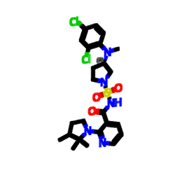 CC1CCN(c2ncccc2C(=O)NS(=O)(=O)N2CC[C@@H](N(C)c3ccc(Cl)cc3Cl)C2)C1(C)C